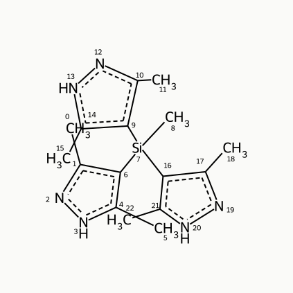 Cc1n[nH]c(C)c1[Si](C)(c1c(C)n[nH]c1C)c1c(C)n[nH]c1C